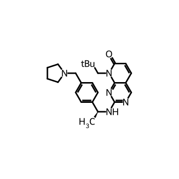 C[C@H](Nc1ncc2ccc(=O)n(CC(C)(C)C)c2n1)c1ccc(CN2CCCC2)cc1